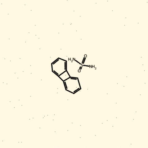 NS(N)(=O)=O.c1ccc2c(c1)-c1ccccc1-2